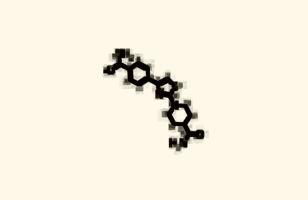 NC(=O)c1ccc(-c2csc(N3CCC(C(N)=O)CC3)n2)cc1